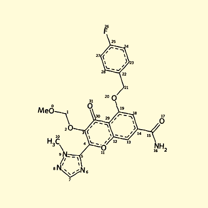 COCOc1c(-c2ncnn2C)oc2cc(C(N)=O)cc(OCc3ccc(F)cc3)c2c1=O